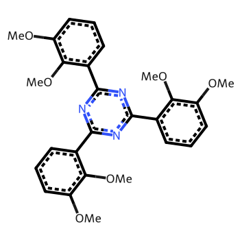 COc1cccc(-c2nc(-c3cccc(OC)c3OC)nc(-c3cccc(OC)c3OC)n2)c1OC